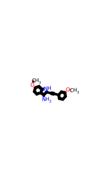 COc1cccc(C#Cc2[nH]c3cc(OC)ccc3c2N)c1